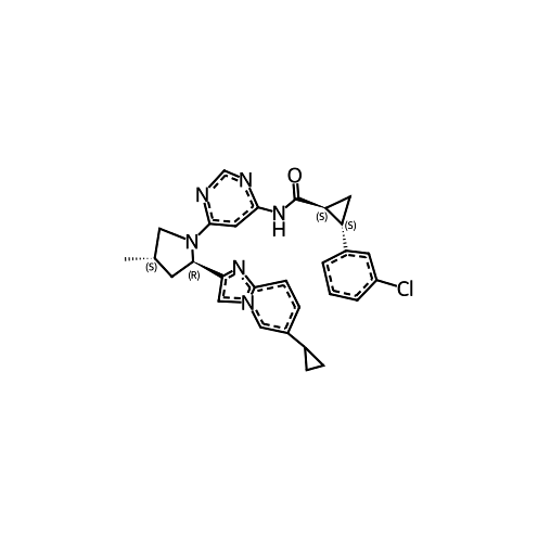 C[C@H]1C[C@H](c2cn3cc(C4CC4)ccc3n2)N(c2cc(NC(=O)[C@H]3C[C@@H]3c3cccc(Cl)c3)ncn2)C1